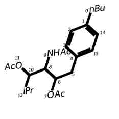 CCCCc1ccc(CC(OC(C)=O)C(NC(C)=O)C(OC(C)=O)C(C)C)cc1